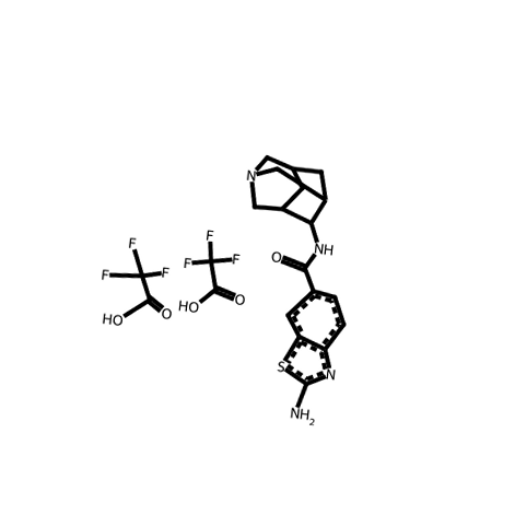 Nc1nc2ccc(C(=O)NC3C4CC5CC3CN(C5)C4)cc2s1.O=C(O)C(F)(F)F.O=C(O)C(F)(F)F